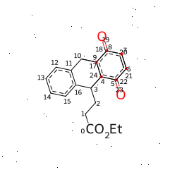 CCOC(=O)CCC12c3ccccc3C(c3ccccc31)C1C(=O)C=CC(=O)C12